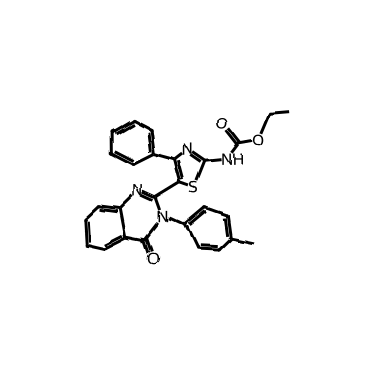 CCOC(=O)Nc1nc(-c2ccccc2)c(-c2nc3ccccc3c(=O)n2-c2ccc(C)cc2)s1